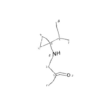 CC(=O)CNC1(C(C)C)CC1